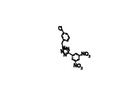 O=[N+]([O-])c1cc(-c2nnn(Cc3cccc(Cl)c3)n2)cc([N+](=O)[O-])c1